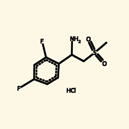 CS(=O)(=O)CC(N)c1ccc(F)cc1F.Cl